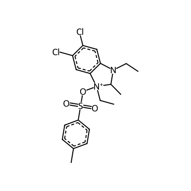 CCN1c2cc(Cl)c(Cl)cc2[N+](CC)(OS(=O)(=O)c2ccc(C)cc2)C1C